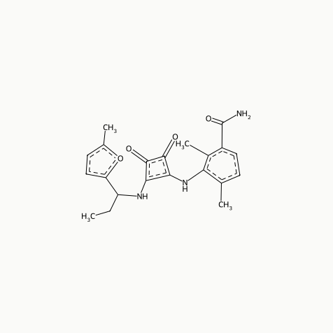 CCC(Nc1c(Nc2c(C)ccc(C(N)=O)c2C)c(=O)c1=O)c1ccc(C)o1